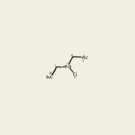 CC(=O)[CH2][Pd]([Cl])[CH2]C(C)=O